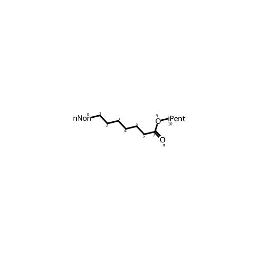 CCCCCCCCCCCCCCCC(=O)OC(C)CCC